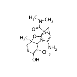 CC1=C(O)C=CC(C)(OCC2(C(=O)N(C)C)CC2)C1n1cccc1N